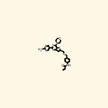 C=CC(=O)Nc1ccc(COCc2cc3nc(-c4cnc(N)nc4)nc(N4CCOCC4)c3s2)cc1